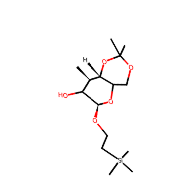 C[C@@H]1C(O)[C@H](OCC[Si](C)(C)C)OC2COC(C)(C)O[C@H]21